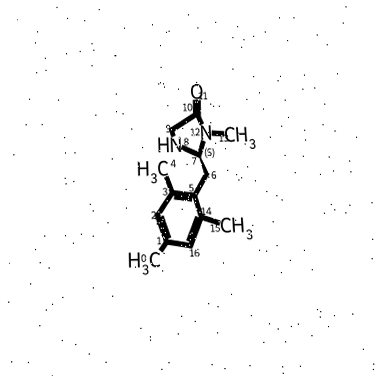 Cc1cc(C)c(C[C@H]2NCC(=O)N2C)c(C)c1